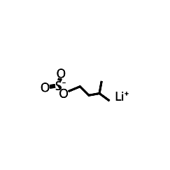 CC(C)CCO[S-](=O)=O.[Li+]